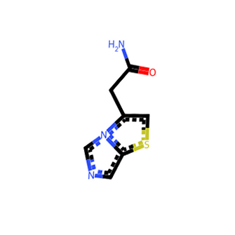 NC(=O)Cc1csc2cncn12